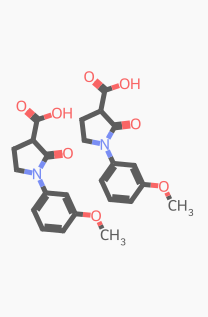 COc1cccc(N2CCC(C(=O)O)C2=O)c1.COc1cccc(N2CCC(C(=O)O)C2=O)c1